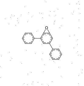 c1ccc(-c2cc3c(c(-c4ccccc4)c2)O3)cc1